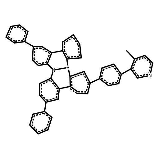 Cc1ccncc1-c1ccc(-c2ccc3c(c2)B2c4ccccc4-c4cc(-c5ccccc5)ccc4N2c2ccc(-c4ccccc4)cc2-3)cc1